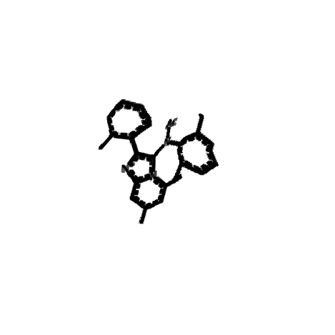 CC(=O)N(c1c(C)cccc1C)c1c(-c2ccccc2C)nc2cc(C)cc(C)n12